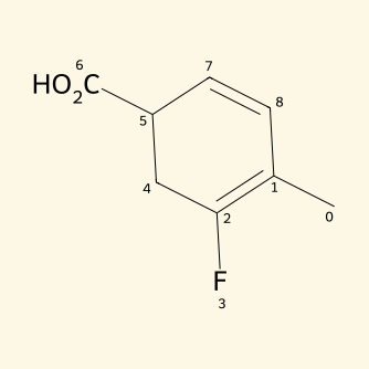 CC1=C(F)CC(C(=O)O)C=C1